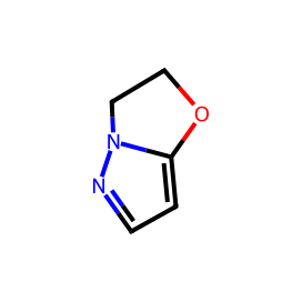 c1cc2n(n1)CCO2